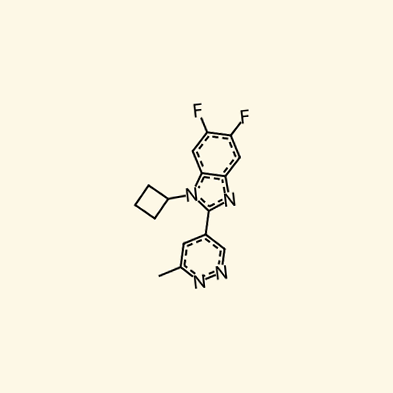 Cc1cc(-c2nc3cc(F)c(F)cc3n2C2CCC2)cnn1